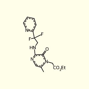 CCOC(=O)Cn1c(C)cnc(NCC(F)(F)c2ccccn2)c1=O